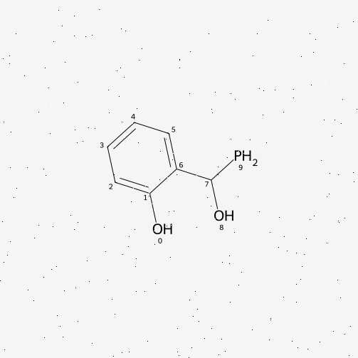 Oc1ccccc1C(O)P